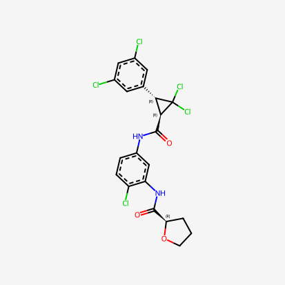 O=C(Nc1cc(NC(=O)[C@H]2[C@H](c3cc(Cl)cc(Cl)c3)C2(Cl)Cl)ccc1Cl)[C@H]1CCCO1